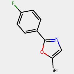 CC(C)c1cnc(-c2ccc(F)cc2)o1